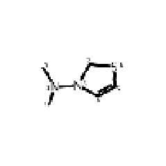 CN(C)N1C=CSC1